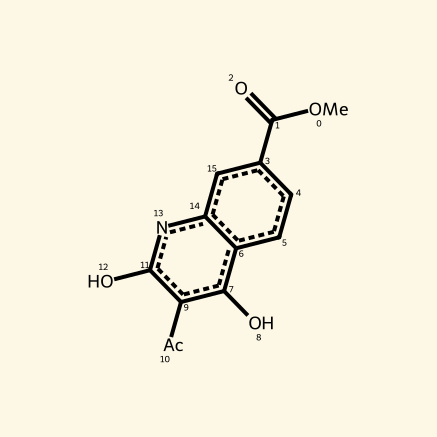 COC(=O)c1ccc2c(O)c(C(C)=O)c(O)nc2c1